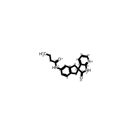 CCCC(=O)Nc1ccc2c(c1)CC1(C2)C(=O)Nc2ncccc21